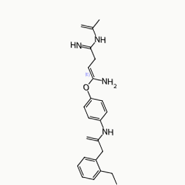 C=C(C)NC(=N)C/C=C(\N)Oc1ccc(NC(=C)Cc2ccccc2CC)cc1